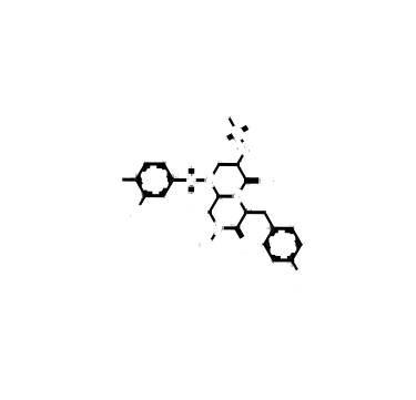 CC(C)N1CC2N(C(=O)C(NS(C)(=O)=O)CN2S(=O)(=O)c2ccc(F)c(F)c2)C(Cc2ccc(Cl)cc2)C1=O